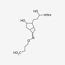 CCCCCCC(O)CCC1C(O)CC2C(=NOCCCC(=O)O)CC21